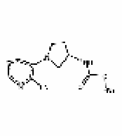 CC(C)(C)OC(=O)N[C@H]1CCN(c2cccnc2C#N)C1